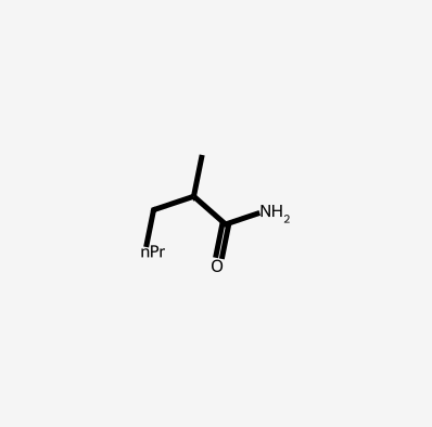 CCCC[C](C)C(N)=O